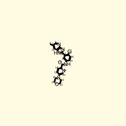 Cc1cnc2nc(-c3cc(NC(=O)c4ccc(N5CCOCC5)cn4)ccc3Cl)[nH]c2c1